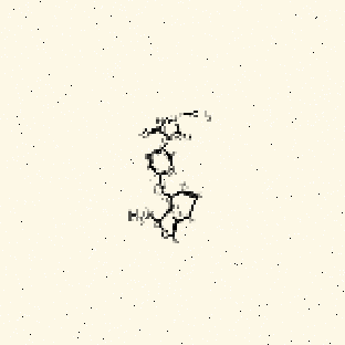 CC[C@H]1NC(=O)N(c2ccc(OC3=C4C(=COC4C)CC=C3)nc2)C1=O